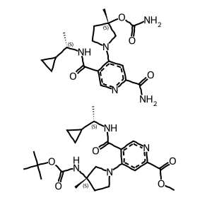 COC(=O)c1cc(N2CC[C@](C)(NC(=O)OC(C)(C)C)C2)c(C(=O)N[C@@H](C)C2CC2)cn1.C[C@H](NC(=O)c1cnc(C(N)=O)cc1N1CC[C@](C)(OC(N)=O)C1)C1CC1